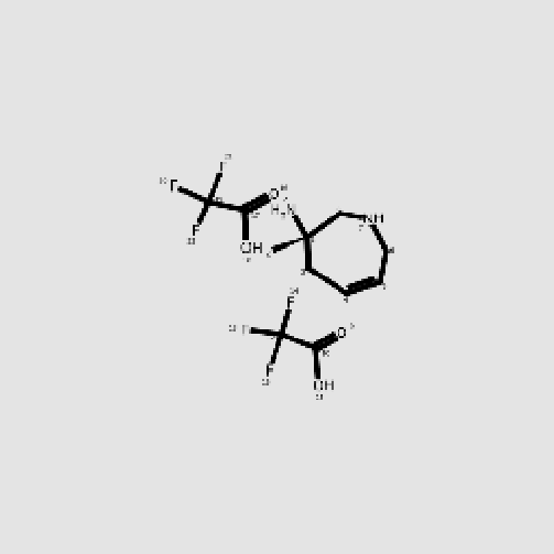 C[C@]1(N)CC=CCNC1.O=C(O)C(F)(F)F.O=C(O)C(F)(F)F